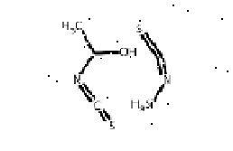 CC(O)N=C=S.[SiH3]N=C=S